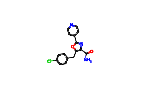 NC(=O)c1nc(-c2ccncc2)oc1Cc1ccc(Cl)cc1